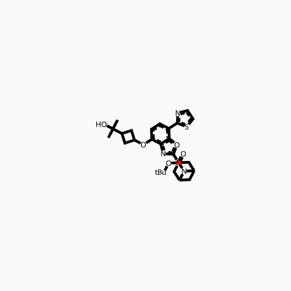 CC(C)(C)OC(=O)N1C2CC1CN(c1nc3c(OC4CC(C(C)(C)O)C4)ccc(-c4nccs4)c3o1)C2